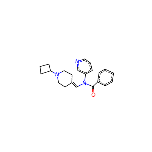 O=C(c1ccccc1)N(C=C1CCN(C2CCC2)CC1)c1cccnc1